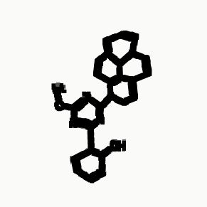 CCOc1nc(C2CC=C3C=CC4C=CC=C5C=CC2=C3C54)nc(C2C=CC=CC2O)n1